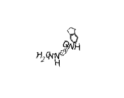 C=NCN[C@H]1CC[C@H](C(=O)Nc2ccc3c(c2)CCC3)C1